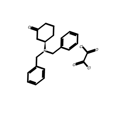 O=C(Cl)C(=O)Cl.O=C1CCC[C@@H](N(Cc2ccccc2)Cc2ccccc2)C1